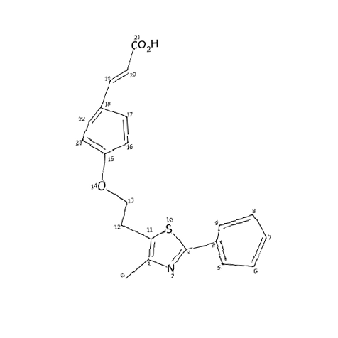 Cc1nc(-c2ccccc2)sc1CCOc1ccc(C=CC(=O)O)cc1